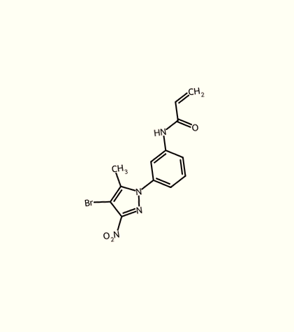 C=CC(=O)Nc1cccc(-n2nc([N+](=O)[O-])c(Br)c2C)c1